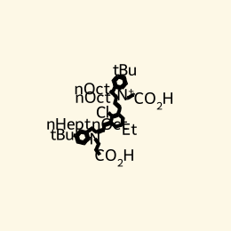 CCCCCCCCC1(CCCCCCCC)C(/C=C/C2=C(Cl)C(=C/C=C3/N(CCC(=O)O)c4ccc(C(C)(C)C)cc4C3(CCCCCCC)CCCCCCCC)/CC(CC)C2)=[N+](CCC(=O)O)c2ccc(C(C)(C)C)cc21